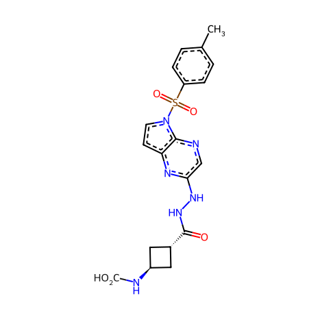 Cc1ccc(S(=O)(=O)n2ccc3nc(NNC(=O)[C@H]4C[C@H](NC(=O)O)C4)cnc32)cc1